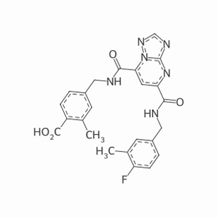 Cc1cc(CNC(=O)c2cc(C(=O)NCc3ccc(C(=O)O)c(C)c3)n3ncnc3n2)ccc1F